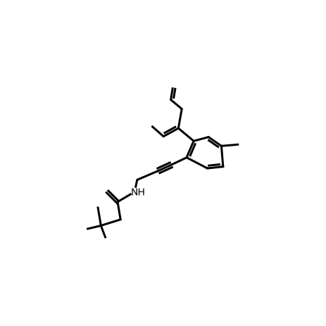 C=CC/C(=C\C)c1cc(C)ccc1C#CCNC(=C)CC(C)(C)C